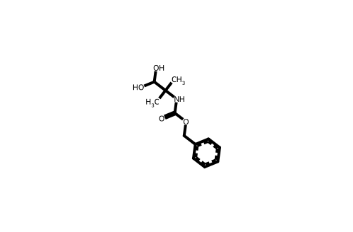 CC(C)(NC(=O)OCc1ccccc1)C(O)O